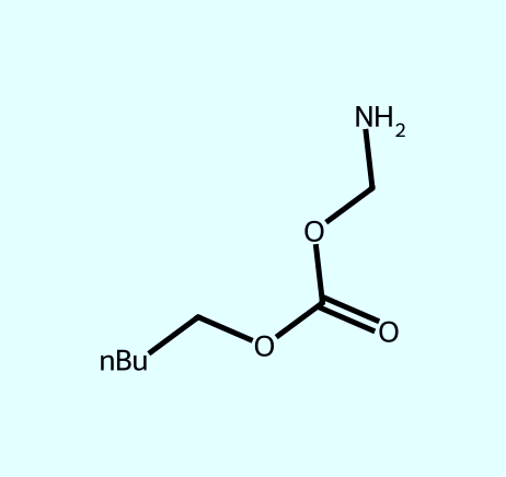 CCCCCOC(=O)OCN